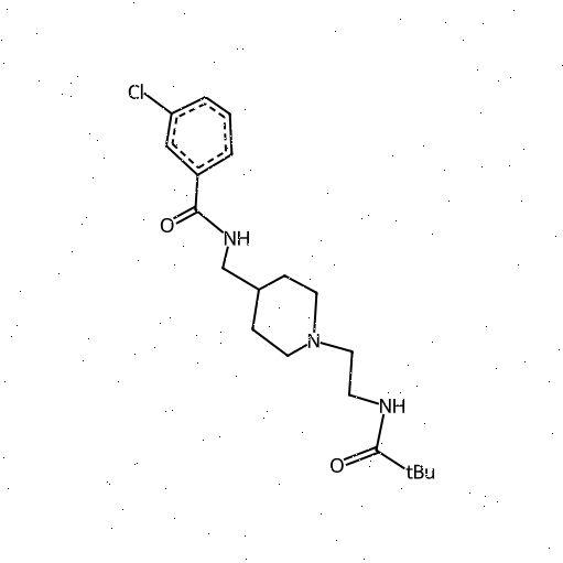 CC(C)(C)C(=O)NCCN1CCC(CNC(=O)c2cccc(Cl)c2)CC1